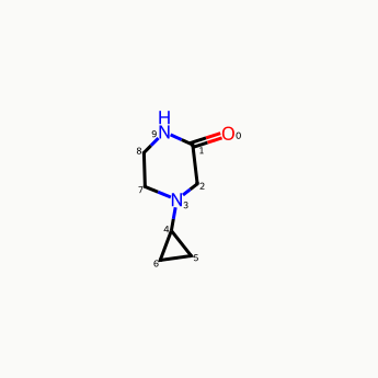 O=C1CN(C2CC2)CCN1